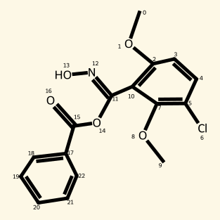 COc1ccc(Cl)c(OC)c1C(=NO)OC(=O)c1ccccc1